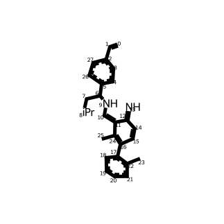 C=Cc1ccc(C(CC(C)C)N/C=C2\C(=N)C=CC(c3ccccc3C)=C2C)cc1